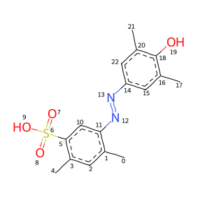 Cc1cc(C)c(S(=O)(=O)O)cc1/N=N/c1cc(C)c(O)c(C)c1